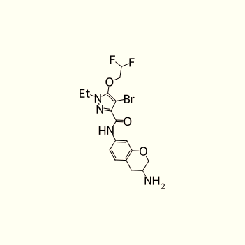 CCn1nc(C(=O)Nc2ccc3c(c2)OCC(N)C3)c(Br)c1OCC(F)F